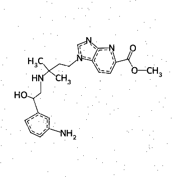 COC(=O)c1ccc2c(ncn2CCC(C)(C)NCC(O)c2cccc(N)c2)n1